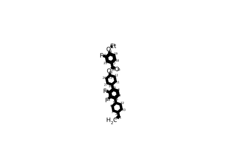 C=CC1CCC(c2ccc(C3CCC(OC(=O)c4ccc(OCC)c(F)c4)CC3)c(F)c2F)CC1